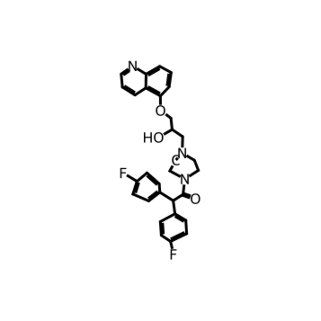 O=C(C(c1ccc(F)cc1)c1ccc(F)cc1)N1CCN(CC(O)COc2cccc3ncccc23)CC1